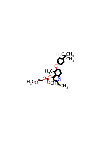 CCc1nc2ccc(Oc3ccc(C(C)(C)C)cc3)c(C)c2c(OC(=O)OCCOC)c1C